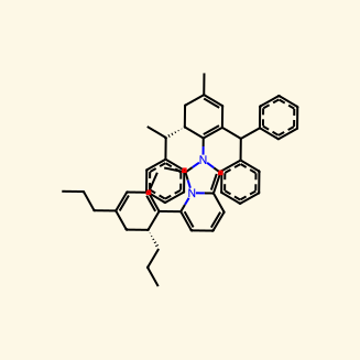 CCCC1=CC(C)=C(C2=CC=CC3=CN(C4=C(C(c5ccccc5)c5ccccc5)C=C(C)C[C@H]4C(C)c4ccccc4)C(C)N32)[C@H](CCC)C1